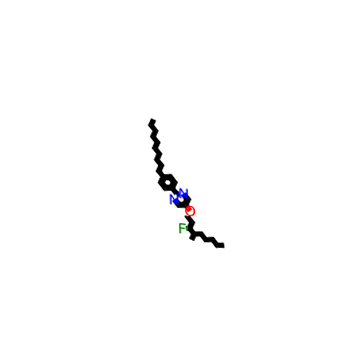 CCCCCCCCCCc1ccc(-c2ncc(OCCC(F)C(C)CCCCC)cn2)cc1